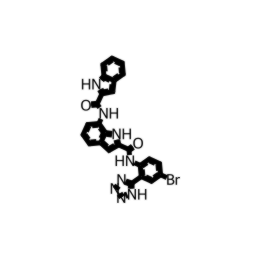 O=C(Nc1cccc2cc(C(=O)Nc3ccc(Br)cc3-c3nnn[nH]3)[nH]c12)c1cc2ccccc2[nH]1